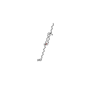 C.CCCCCCCCCCCCCCO.CCCCCCCCCCCCO